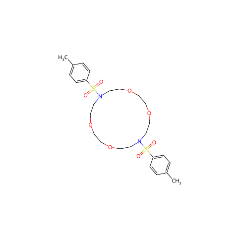 Cc1ccc(S(=O)(=O)N2CCOCCOCCN(S(=O)(=O)c3ccc(C)cc3)CCOCCOCC2)cc1